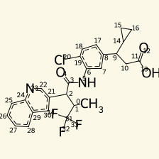 CC(C(C(=O)Nc1cc(C(CC(=O)O)C2CC2)ccc1Cl)c1cnc2ccccc2c1)C(F)(F)F